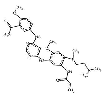 C=CC(=O)Nc1cc(Nc2cc(Nc3ccc(OC)c(C(N)=O)c3)ncn2)c(OC)cc1N(C)CCN(C)C